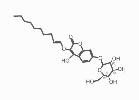 CCCCCCCCC=COc1c(O)c2ccc(OC3O[C@H](CO)[C@@H](O)[C@H](O)[C@H]3O)cc2oc1=O